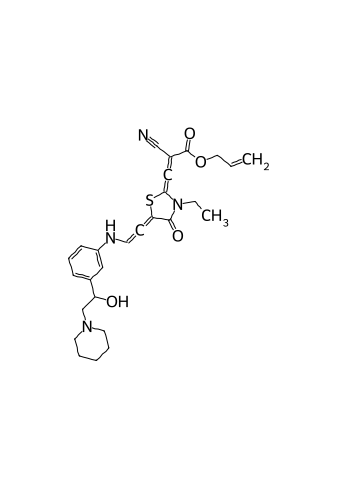 C=CCOC(=O)C(=C=c1sc(=C=CNc2cccc(C(O)CN3CCCCC3)c2)c(=O)n1CC)C#N